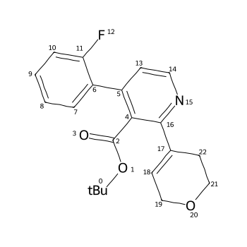 CC(C)(C)OC(=O)c1c(-c2ccccc2F)ccnc1C1=CCOCC1